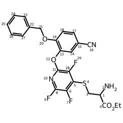 CCOC(=O)C(N)CSc1c(F)c(F)nc(Oc2cc(C#N)ccc2OCc2ccccc2)c1F